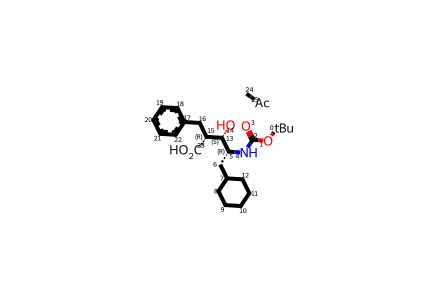 CC(C)(C)OC(=O)N[C@H](CC1CCCCC1)[C@@H](O)[C@@H](Cc1ccccc1)C(=O)O.CC(C)=O